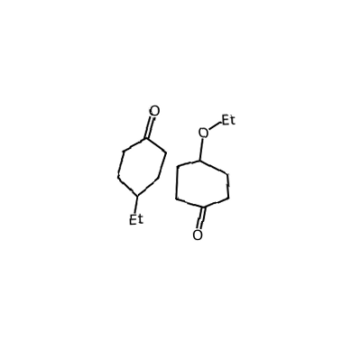 CCC1CCC(=O)CC1.CCOC1CCC(=O)CC1